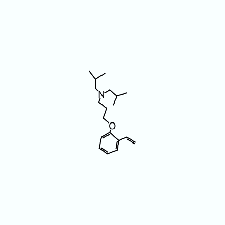 C=Cc1ccccc1OCCCN(CC(C)C)CC(C)C